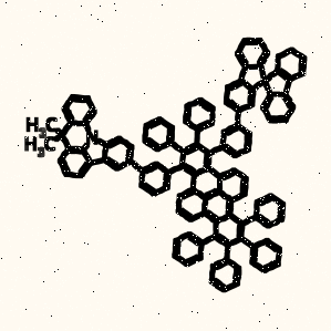 CC1(C)c2ccccc2-n2c3ccc(-c4cccc(-c5c(-c6ccccc6)c(-c6ccccc6)c(-c6cccc(-c7ccc8c(c7)C7(C9=C(C=CCC9)c9ccccc97)c7ccccc7-8)c6)c6c7cccc8c9c(-c%10ccccc%10)c(-c%10ccccc%10)c(-c%10ccccc%10)c(-c%10ccccc%10)c9c9cccc(c56)c9c87)c4)cc3c3cccc1c32